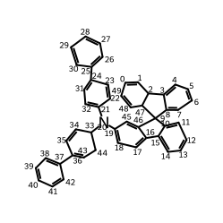 C1=CC2c3ccccc3C3(c4ccccc4-c4ccc(N(c5ccc(-c6ccccc6)cc5)C5C=CC(c6ccccc6)=CC5)cc43)C2C=C1